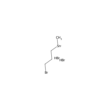 Br.Br.[CH3][Sn][CH2]CCBr